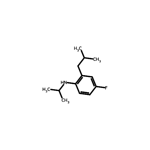 CC(C)Cc1cc(F)ccc1NC(C)C